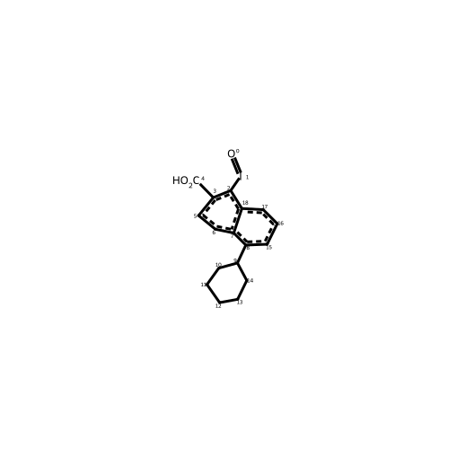 O=Ic1c(C(=O)O)ccc2c(C3CCCCC3)cccc12